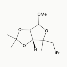 COC1OC(C)(CC(C)C)[C@@H]2OC(C)(C)OC12